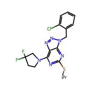 CC(C)Sc1nc(N2CCC(F)(F)C2)c2nnn(Cc3ccccc3Cl)c2n1